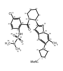 CN[C@H]1CCN(c2nc3cc([C@@H]4CCCCN4C(=O)c4cc(Cl)ccc4NS(=O)(=O)N(C)C)nn3cc2C)C1